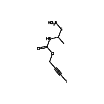 CC(NC(=O)OCC#CI)SS(=O)(=O)O